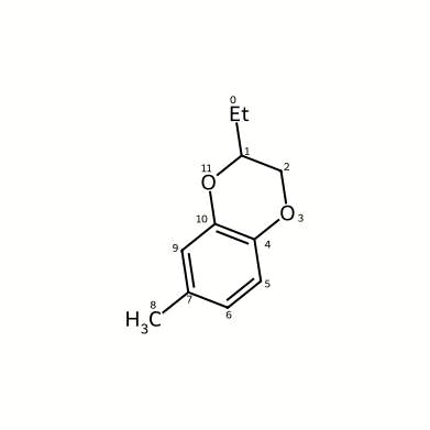 CCC1COc2ccc(C)cc2O1